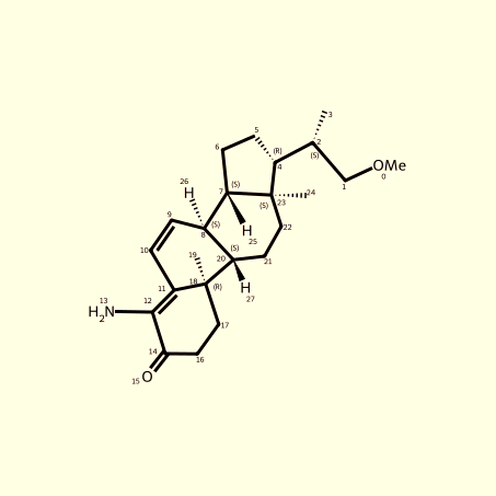 COC[C@@H](C)[C@H]1CC[C@H]2[C@@H]3C=CC4=C(N)C(=O)CC[C@]4(C)[C@H]3CC[C@]12C